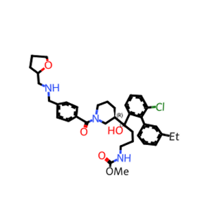 CCc1cccc(-c2c(Cl)cccc2[C@](O)(CCCNC(=O)OC)[C@@H]2CCCN(C(=O)c3ccc(CNCC4CCCO4)cc3)C2)c1